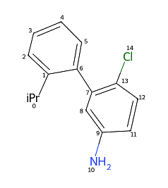 CC(C)c1ccccc1-c1cc(N)ccc1Cl